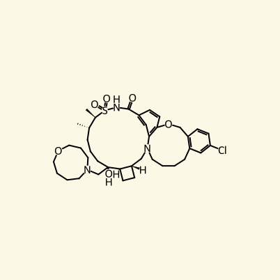 C[C@@H]1[C@@H](C)CCC[C@@](O)(CN2CCCCOCCC2)[C@H]2CC[C@H]2CN2CCCCc3cc(Cl)ccc3COc3ccc(cc32)C(=O)NS1(=O)=O